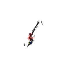 CCCCCCCCCCCCCCCCOCC(COP(=O)(O)Oc1cccc(CN2C=C(C)SC2)c1)OC